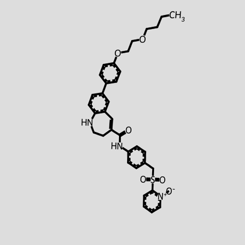 CCCCOCCOc1ccc(-c2ccc3c(c2)C=C(C(=O)Nc2ccc(CS(=O)(=O)c4cccc[n+]4[O-])cc2)CCN3)cc1